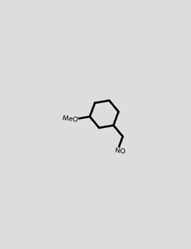 COC1CCCC(CN=O)C1